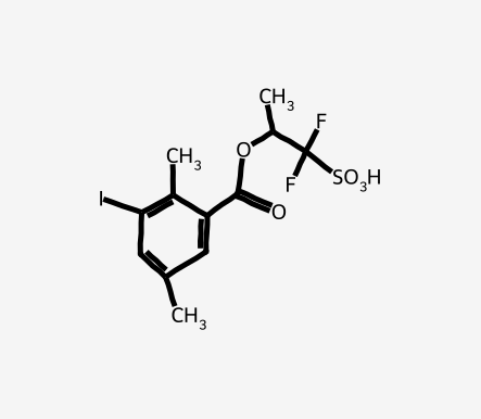 Cc1cc(I)c(C)c(C(=O)OC(C)C(F)(F)S(=O)(=O)O)c1